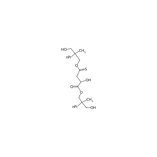 CCCC(C)(CO)COC(=O)C(O)CC(=S)OCC(C)(CO)CCC